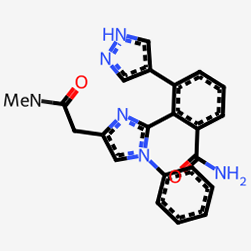 CNC(=O)Cc1cn(-c2ccccc2)c(-c2c(C(N)=O)cccc2-c2cn[nH]c2)n1